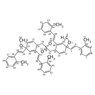 COC1(/C=C/c2ccccc2C)C=CC(CS(=O)(=O)CC2C=CC(/C=C/c3ccccc3C)(OC)C=C2/C=C/c2ccccc2C)C(/C=C/c2ccccc2C)=C1